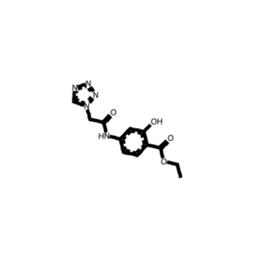 CCOC(=O)c1ccc(NC(=O)Cn2cnnn2)cc1O